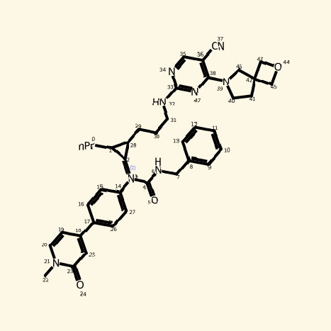 CCCC1/C(=[N+](/C(=O)NCc2ccccc2)c2ccc(-c3ccn(C)c(=O)c3)cc2)C1CCCNc1ncc(C#N)c(N2CCC3(COC3)C2)n1